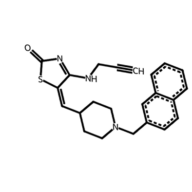 C#CCNC1=NC(=O)SC1=CC1CCN(Cc2ccc3ccccc3c2)CC1